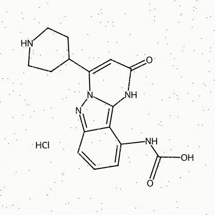 Cl.O=C(O)Nc1cccc2nn3c(C4CCNCC4)cc(=O)[nH]c3c12